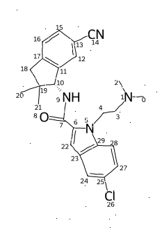 CN(C)CCn1c(C(=O)N[C@H]2c3cc(C#N)ccc3CC2(C)C)cc2cc(Cl)ccc21